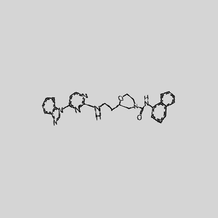 O=C(Nc1cccc2ccccc12)N1CCOC(CCNc2nccc(-n3cnc4ccccc43)n2)C1